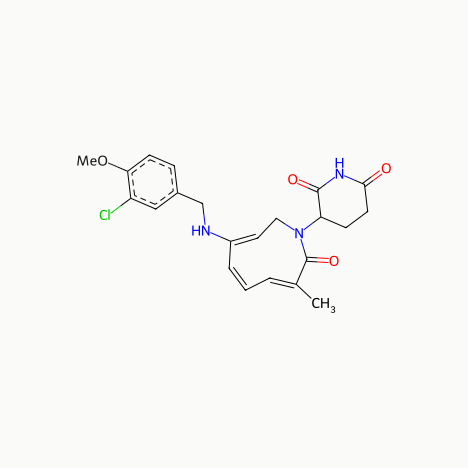 COc1ccc(CNC2=C\CN(C3CCC(=O)NC3=O)C(=O)/C(C)=C/C=C\2)cc1Cl